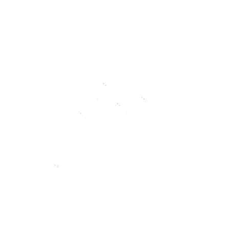 CC(N)C(=O)N(C(=O)C(N)Cc1ccccc1)C(C(=O)O)C(=O)C(N)CCCCN